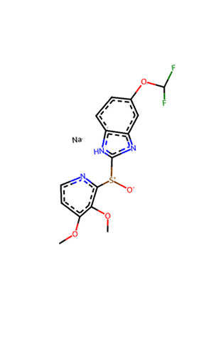 COc1ccnc([S+]([O-])c2nc3cc(OC(F)F)ccc3[nH]2)c1OC.[Na]